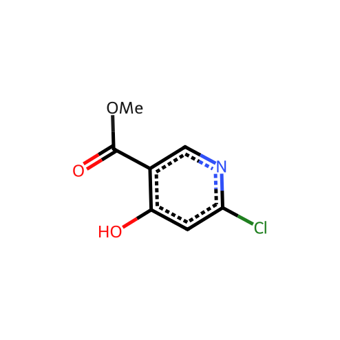 COC(=O)c1cnc(Cl)cc1O